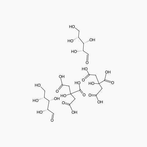 O=C(O)CC(O)(CC(=O)O)C(=O)O.O=C(O)CC(O)(CC(=O)O)C(=O)O.O=C[C@H](O)[C@@H](O)[C@H](O)CO.O=C[C@H](O)[C@@H](O)[C@H](O)CO